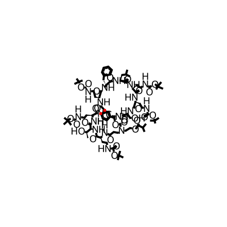 CC(C)C[C@@H]1NC(=O)[C@@H](Cc2ccccc2)NC(=O)[C@H](CCNC(=O)OC(C)(C)C)NC(=O)[C@@H](NC(=O)[C@H](CCNC(=O)OC(C)(C)C)NC(=O)[C@@H](NC(=O)[C@H](CCNC(=O)OC(C)(C)C)NC(=O)CCN(CCOC(=O)C(C)C)C(=O)OCc2ccccc2)[C@@H](C)O)CCNC(=O)[C@H]([C@@H](C)O)NC(=O)[C@H](CCNC(=O)OC(C)(C)C)NC(=O)[C@H](CCNC(=O)OC(C)(C)C)NC1=O